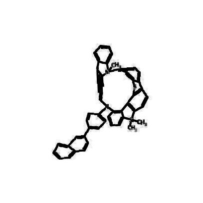 C[Si]1(C)c2cccc3c2-c2c1ccc1c2sc2cc(ccc21)[Si]1(C)c2ccccc2-c2cc(ccc21)N3c1ccc(-c2ccc3ccccc3c2)cc1